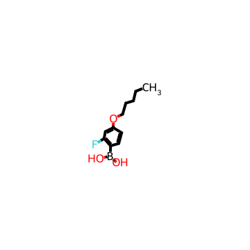 CCCCCOc1ccc(B(O)O)c(F)c1